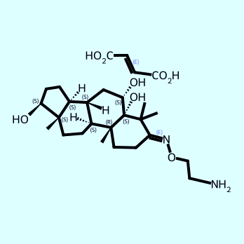 CC1(C)/C(=N/OCCN)CC[C@]2(C)[C@H]3CC[C@]4(C)[C@@H](O)CC[C@H]4[C@@H]3C[C@H](O)[C@@]12O.O=C(O)/C=C/C(=O)O